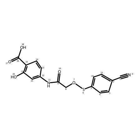 N#Cc1ccc(SOCC(=O)Nc2ccc(C(=O)O)c(O)c2)cc1